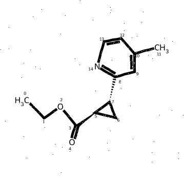 CCOC(=O)[C@@H]1C[C@H]1c1cc(C)ccn1